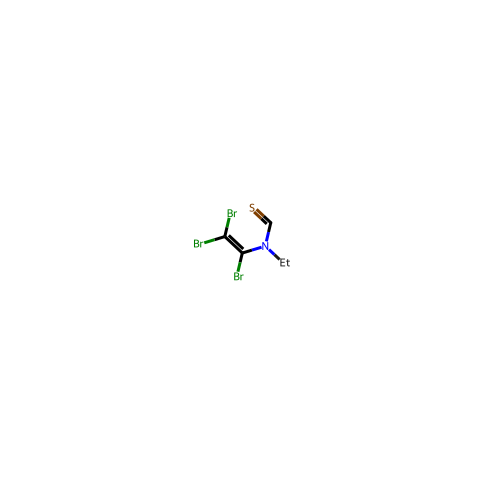 CCN(C=S)C(Br)=C(Br)Br